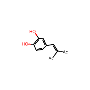 CC(=O)C(=Cc1ccc(O)c(O)c1)C(C)=O